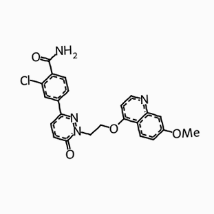 COc1ccc2c(OCCn3nc(-c4ccc(C(N)=O)c(Cl)c4)ccc3=O)ccnc2c1